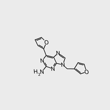 Nc1nc(-c2ccco2)c2ncn(Cc3ccoc3)c2n1